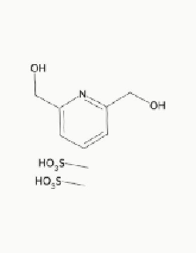 CS(=O)(=O)O.CS(=O)(=O)O.OCc1cccc(CO)n1